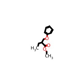 CCOC(=O)C(CC)COc1cc[c]cc1